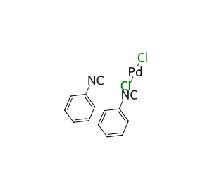 [C-]#[N+]c1ccccc1.[C-]#[N+]c1ccccc1.[Cl][Pd][Cl]